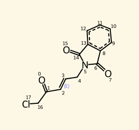 O=C(/C=C/CN1C(=O)c2ccccc2C1=O)CCl